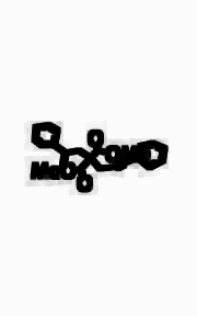 C=C(CC(CC#Cc1ccccc1)(C(=O)OC)C(=O)OC)c1ccccc1